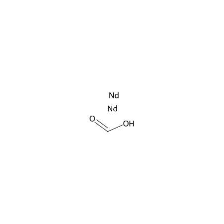 O=CO.[Nd].[Nd]